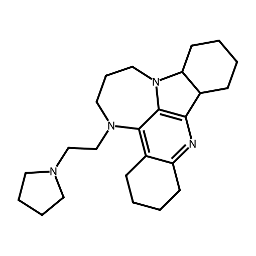 C1CCc2c(nc3c4c2N(CCN2CCCC2)CCCN4C2CCCCC32)C1